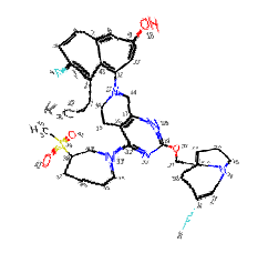 CCc1c(F)ccc2cc(O)cc(N3CCc4c(nc(OC[C@@]56CCCN5C[C@H](F)C6)nc4N4CCCCC(S(C)(=O)=O)C4)C3)c12